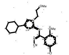 COCCn1cc(C2CCCCC2)s/c1=N\C(=NC#N)c1cc(Cl)ccc1OC